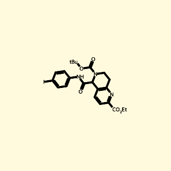 CCOC(=O)c1ccc2c(n1)CCN(C(=O)OC(C)(C)C)C2C(=O)Nc1ccc(I)cc1